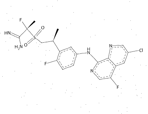 C[C@H](CS(=O)(=O)[C@@](C)(F)C(=N)N)c1cc(Nc2ncc(F)c3cc(Cl)cnc23)ccc1F